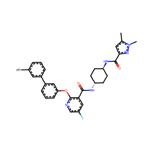 [CH2]CCc1cccc(-c2cccc(Oc3ncc(F)cc3C(=O)N[C@H]3CC[C@H](NC(=O)c4cc(C)n(C)n4)CC3)c2)c1